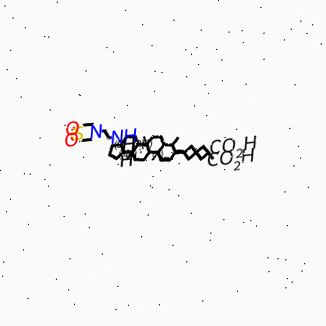 CC1C(=C2CC3(C2)CC(C(=O)O)(C(=O)O)C3)C=C[C@@]2(C)C1CC[C@]1(C)C2CC[C@@H]2[C@H]3CCC[C@]3(NCCN3CCS(=O)(=O)CC3)CC[C@]21C